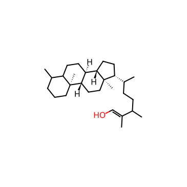 CC(=CO)C(C)CCC(C)[C@H]1CC[C@H]2[C@@H]3CCC4C(C)CCC[C@]4(C)[C@H]3CC[C@]12C